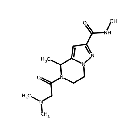 CC1c2cc(C(=O)NO)nn2CCN1C(=O)CN(C)C